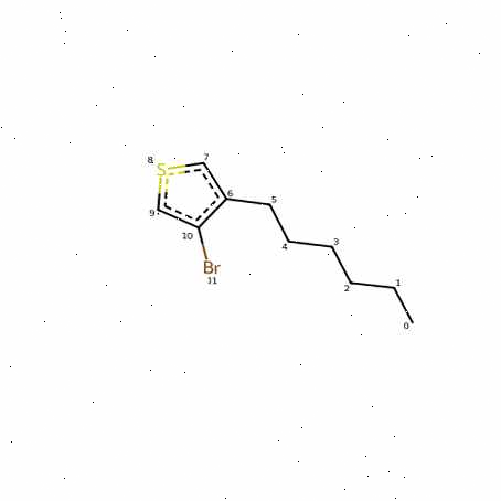 CCCCCCc1cs[c]c1Br